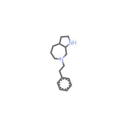 c1ccc(CCN2CCCC3CCNC3C2)cc1